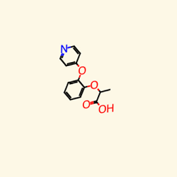 CC(Oc1ccccc1Oc1ccncc1)C(=O)O